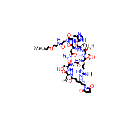 COCCOCCNC(=O)CNC(=O)[C@H](Cc1c[nH]cn1)NC(=O)[C@H](CC(N)=O)NC(=O)[C@H](CC(=O)O)NC(=O)[C@H](CO)NC(=O)[C@H](CCCNC(=N)N)NC(=O)CNC(=O)[C@H](CO)NC(=O)[C@H](CC(C)C)NC(=O)CCCCCN1C(=O)C=CC1=O